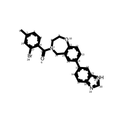 Cc1ccc(C(=O)N2CCOc3ccc(-c4ccc5nc[nH]c5c4)cc3C2)c(Br)c1